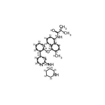 Cc1ccc2c(NC(=O)C(C)C)cccc2c1Oc1ncccc1-c1ccnc(N[C@H]2CCCNC2)n1